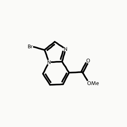 COC(=O)c1cccn2c(Br)cnc12